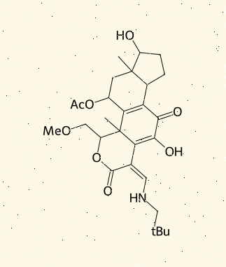 COCC1OC(=O)/C(=C\NCC(C)(C)C)C2=C(O)C(=O)C3=C(C(OC(C)=O)CC4(C)C(O)CCC34)C21C